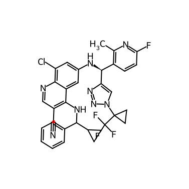 Cc1nc(F)ccc1[C@H](Nc1cc(Cl)c2ncc(C#N)c(NC(c3ccccc3)C3CC3)c2c1)c1cn(C2(C(F)(F)F)CC2)nn1